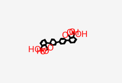 O=C(O)c1cccc(-c2ccc(-c3ccc(-c4cccc(C(=O)O)c4C(=O)O)cc3)cc2)c1C(=O)O